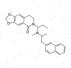 CCC(N1CCc2cc3c(cc2C1=O)OCO3)N(C)C(C)Cc1ccc2ccccc2c1